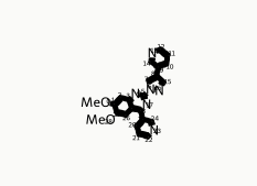 COc1cc2nc(-n3cc(-c4cccnc4)cn3)nc(-c3cccnc3)c2cc1OC